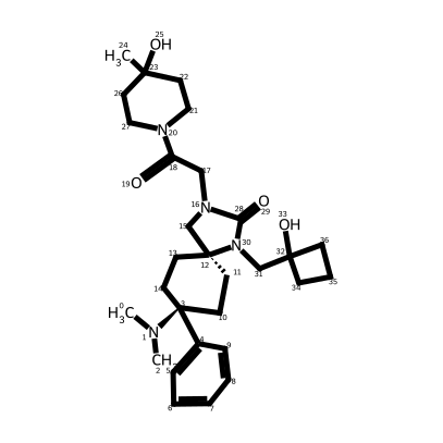 CN(C)[C@]1(c2ccccc2)CC[C@]2(CC1)CN(CC(=O)N1CCC(C)(O)CC1)C(=O)N2CC1(O)CCC1